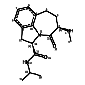 CN[C@@H]1CCc2cccc3c2N(C1=O)[C@@H](C(=O)NC(C)C)C3